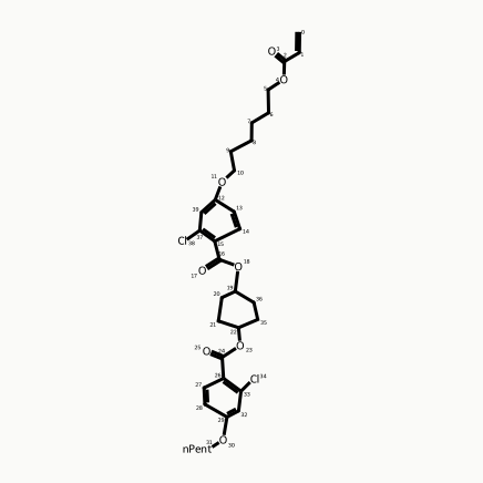 C=CC(=O)OCCCCCCOc1ccc(C(=O)OC2CCC(OC(=O)c3ccc(OCCCCC)cc3Cl)CC2)c(Cl)c1